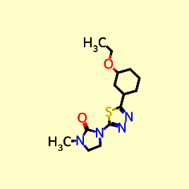 CCOC1CCCC(c2nnc(N3CCN(C)C3=O)s2)C1